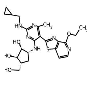 CCOc1nccc2sc(-c3c(C)nc(NCC4CC4)nc3N[C@@H]3C[C@H](CO)[C@@H](O)[C@H]3O)nc12